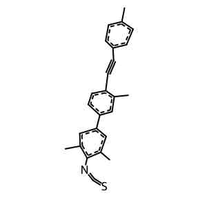 Cc1ccc(C#Cc2ccc(-c3cc(C)c(N=C=S)c(C)c3)cc2C)cc1